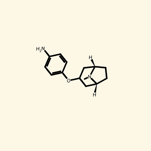 CN1[C@@H]2CC[C@H]1CC(Oc1ccc(N)cc1)C2